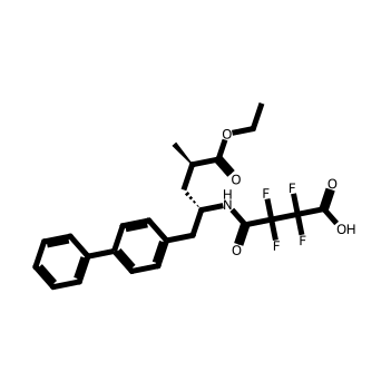 CCOC(=O)[C@H](C)C[C@@H](Cc1ccc(-c2ccccc2)cc1)NC(=O)C(F)(F)C(F)(F)C(=O)O